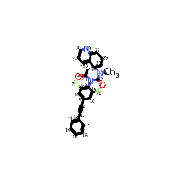 CN1C(=O)N(c2c(F)cc(C#Cc3ccccc3)cc2F)C(=O)C[C@]12CCCc1ncccc12